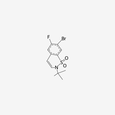 CC(C)(C)N1C=Cc2cc(F)c(Br)cc2S1(=O)=O